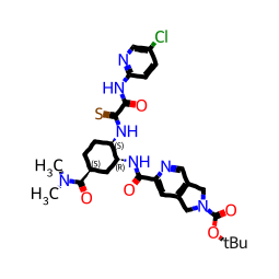 CN(C)C(=O)[C@H]1CC[C@H](NC(=S)C(=O)Nc2ccc(Cl)cn2)[C@H](NC(=O)c2cc3c(cn2)CN(C(=O)OC(C)(C)C)C3)C1